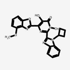 COc1cccc2oc(-c3nc(-c4nc5ccccc5n4C4CCC4)n(C)c(=O)c3O)nc12